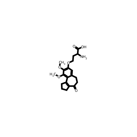 COc1c(OCCC(N)C(=O)O)cc2c(c1OC)C1=C(CCC1)C(=O)CC2